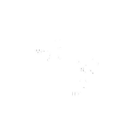 COC(=O)C(OCCCCOc1nc(-c2ccc(C)cc2)nc2ccc(Cl)cc12)c1ccccc1